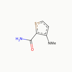 CNc1ccsc1C(N)=O